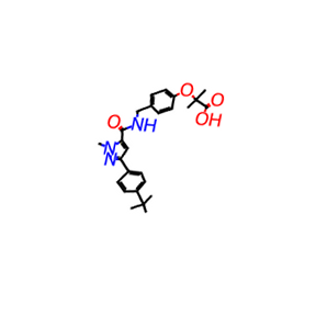 Cn1nc(-c2ccc(C(C)(C)C)cc2)cc1C(=O)NCc1ccc(OC(C)(C)C(=O)O)cc1